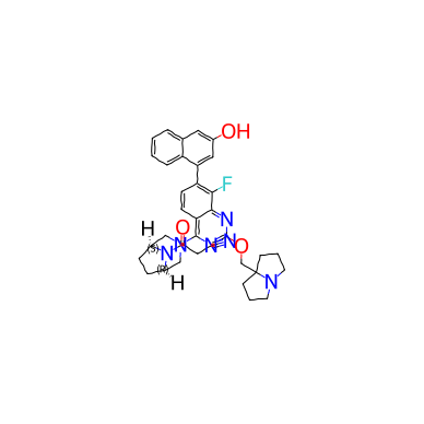 N#CCC(=O)N1[C@@H]2CC[C@H]1CN(c1nc(OCC34CCCN3CCC4)nc3c(F)c(-c4cc(O)cc5ccccc45)ccc13)C2